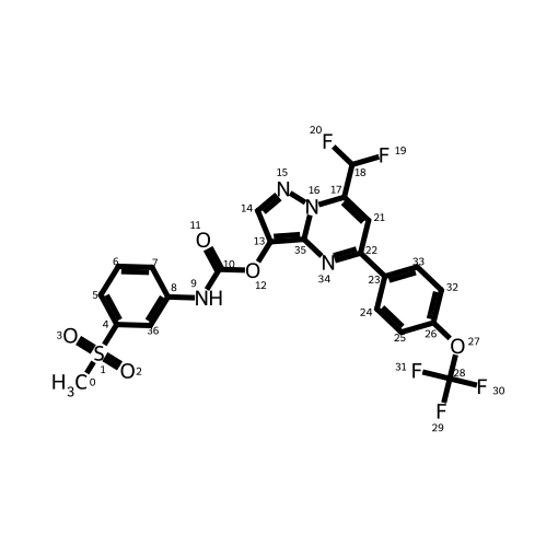 CS(=O)(=O)c1cccc(NC(=O)Oc2cnn3c(C(F)F)cc(-c4ccc(OC(F)(F)F)cc4)nc23)c1